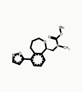 CN(C[C@@H]1OCCCc2c(-c3ccno3)cccc21)C(=O)OC(C)(C)C